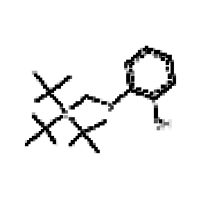 CC(C)(C)[Si](CSc1ccccc1O)(C(C)(C)C)C(C)(C)C